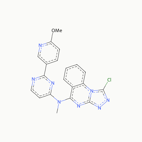 COc1ccc(-c2nccc(N(C)c3nc4nnc(Cl)n4c4ccccc34)n2)cn1